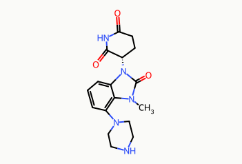 Cn1c(=O)n([C@H]2CCC(=O)NC2=O)c2cccc(N3CCNCC3)c21